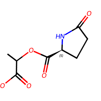 CC(OC(=O)[C@@H]1CCC(=O)N1)C(=O)O